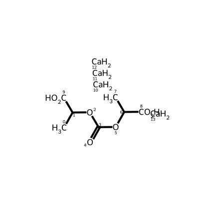 CC(OC(=O)OC(C)C(=O)O)C(=O)O.[CaH2].[CaH2].[CaH2].[CaH2]